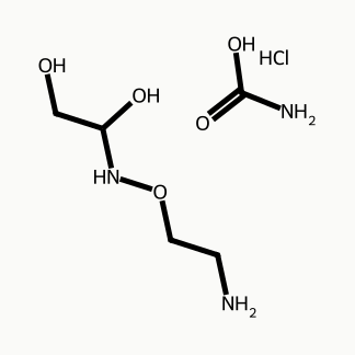 Cl.NC(=O)O.NCCONC(O)CO